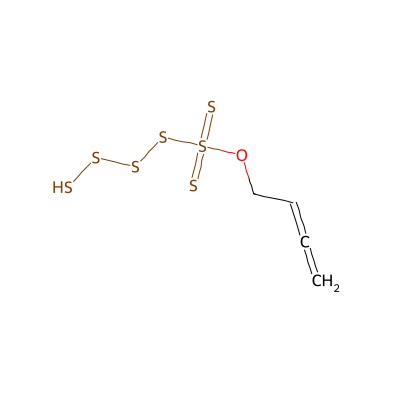 C=C=CCOS(=S)(=S)SSSS